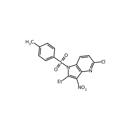 CCc1c([N+](=O)[O-])c2nc(Cl)ccc2n1S(=O)(=O)c1ccc(C)cc1